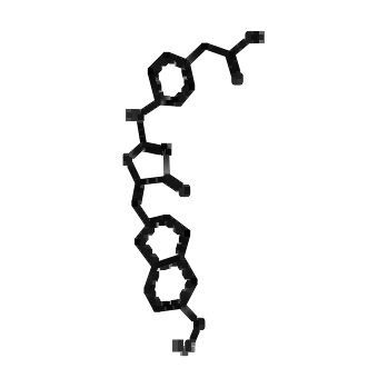 COc1ccc2cc(C=C3SC(Nc4ccc(CC(=O)O)cc4)=NC3=O)ccc2c1